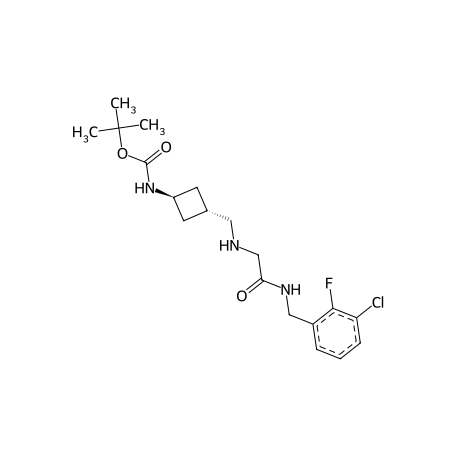 CC(C)(C)OC(=O)N[C@H]1C[C@H](CNCC(=O)NCc2cccc(Cl)c2F)C1